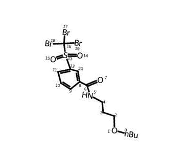 CCCCOCCCNC(=O)c1cccc(S(=O)(=O)C(Br)(Br)Br)c1